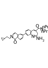 CCCN(CCC)C(=O)C1=Cc2ccc(-c3ccc4c(=O)n(CCC5CC5)ccc4c3)cc2N=C(N)C1